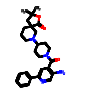 CC1(C)CC2(CCCN(C3CCN(C(=O)c4cc(-c5ccccc5)ncc4N)CC3)C2)C(=O)O1